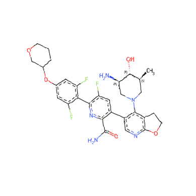 C[C@H]1CN(c2c(-c3cc(F)c(-c4c(F)cc(OC5CCCOC5)cc4F)nc3C(N)=O)cnc3c2CCO3)C[C@@H](N)[C@@H]1O